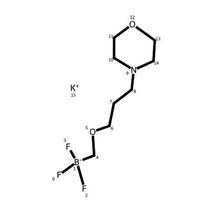 F[B-](F)(F)COCCCN1CCOCC1.[K+]